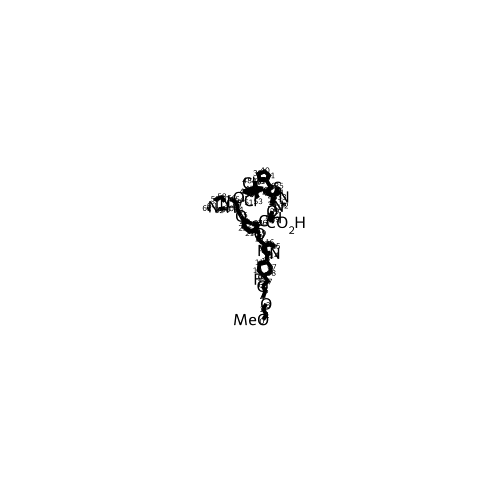 COCCOCCOC[C@@]1(F)CC=C(c2nccc(COc3ccc4cc3C[C@H](C(=O)O)Oc3ncnc5sc(C6=CCCC6)c(c35)-c3c(C)c(Cl)c(c(Cl)c3C)O[C@H](CN3CCN(C)CC3)CO4)n2)CC1